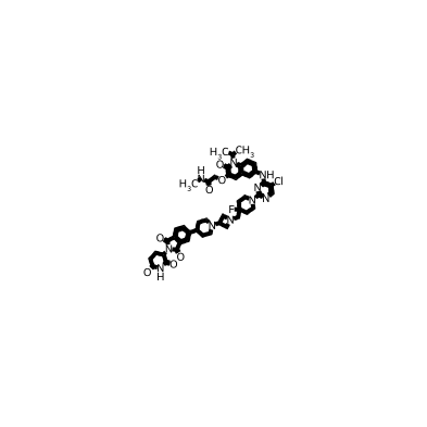 CNC(=O)COc1cc2cc(Nc3nc(N4CCC(F)(CN5CC(N6CCC(c7ccc8c(c7)C(=O)N(C7CCC(=O)NC7=O)C8=O)CC6)C5)CC4)ncc3Cl)ccc2n(C(C)C)c1=O